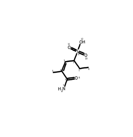 CCC(C=C(C)C(N)=O)S(=O)(=O)O